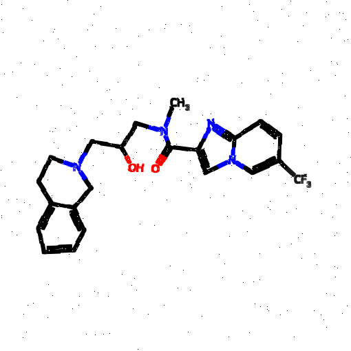 CN(CC(O)CN1CCc2ccccc2C1)C(=O)c1cn2cc(C(F)(F)F)ccc2n1